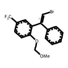 COCOc1ccc(C(F)(F)F)cc1/C(=C/Br)c1ccccc1